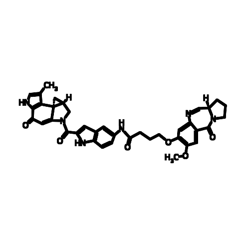 COc1cc2c(cc1OCCCC(=O)Nc1ccc3[nH]c(C(=O)N4C[C@H]5C[C@@]56C4=CC(=O)c4[nH]cc(C)c46)cc3c1)N=C[C@@H]1CCCN1C2=O